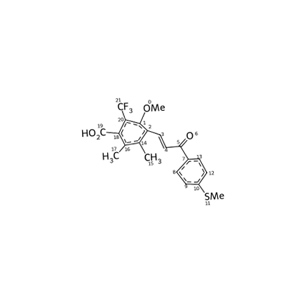 COc1c(C=CC(=O)c2ccc(SC)cc2)c(C)c(C)c(C(=O)O)c1C(F)(F)F